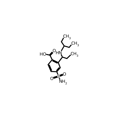 CCC(CC)NC(CC)c1cc(S(N)(=O)=O)ccc1C(=O)O